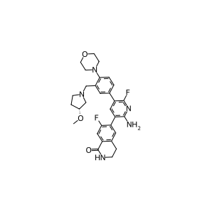 CO[C@@H]1CCN(Cc2cc(-c3cc(-c4cc5c(cc4F)C(=O)NCC5)c(N)nc3F)ccc2N2CCOCC2)C1